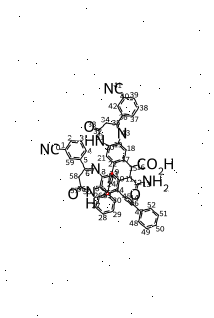 N#Cc1cccc(C2=Nc3cc(C(C(N)=O)C(C(=O)O)c4cc5c(cc4C#Cc4ccccc4)NC(=O)CC(c4cccc(C#N)c4)=N5)c(C#Cc4ccccc4)cc3NC(=O)C2)c1